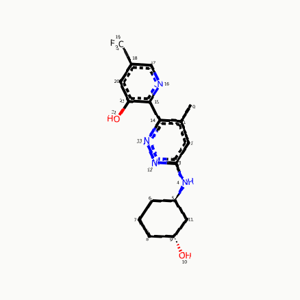 Cc1cc(N[C@@H]2CCC[C@@H](O)C2)nnc1-c1ncc(C(F)(F)F)cc1O